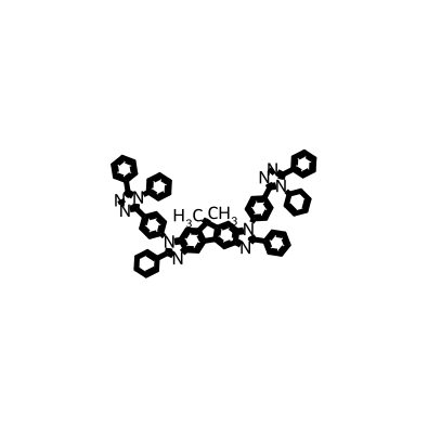 CC1(C)c2cc3c(cc2-c2cc4nc(-c5ccccc5)n(-c5ccc(-c6nnc(-c7ccccc7)n6C6C=CC=CC6)cc5)c4cc21)nc(C1=CCCC=C1)n3-c1ccc(-c2nnc(-c3ccccc3)n2-c2ccccc2)cc1